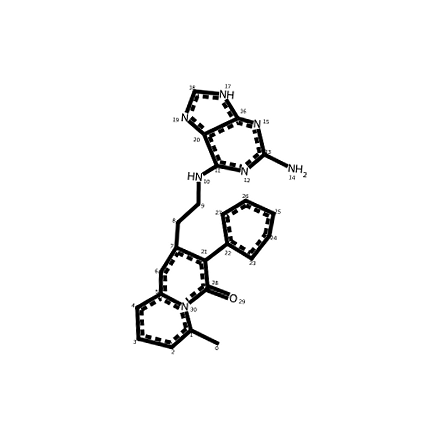 Cc1cccc2cc(CCNc3nc(N)nc4[nH]cnc34)c(-c3ccccc3)c(=O)n12